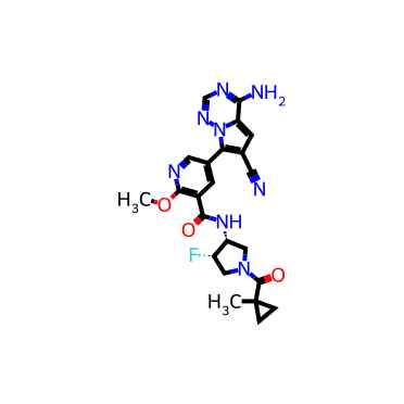 COc1ncc(-c2c(C#N)cc3c(N)ncnn23)cc1C(=O)N[C@@H]1CN(C(=O)C2(C)CC2)C[C@@H]1F